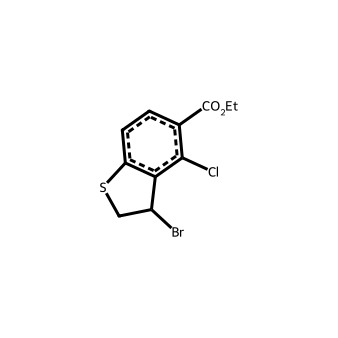 CCOC(=O)c1ccc2c(c1Cl)C(Br)CS2